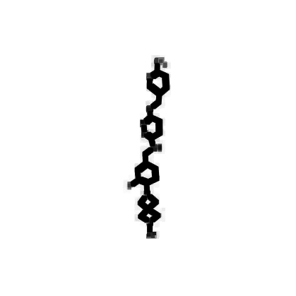 CC(=O)N1CC2(C1)CN(c1ccc(CNc3ccc(OCc4ccc(C(F)(F)F)nc4)nn3)cc1F)C2